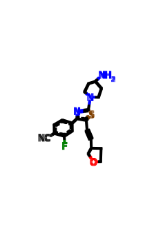 N#Cc1ccc(-c2nc(N3CCC(N)CC3)sc2C#CC2CCOC2)cc1F